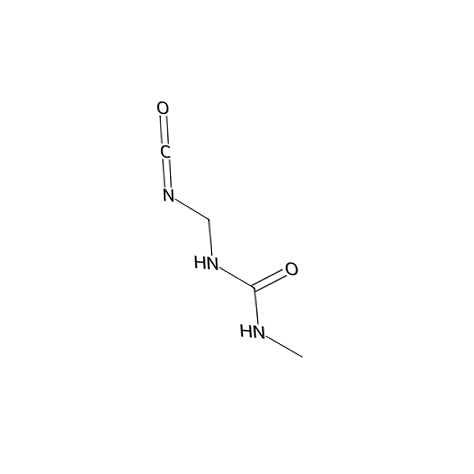 CNC(=O)NCN=C=O